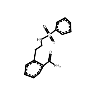 NC(=O)c1ccccc1[CH]CNS(=O)(=O)c1ccccc1